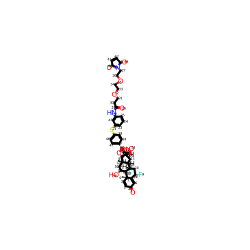 C[C@]12C=CC(=O)C=C1[C@@H](F)C[C@H]1[C@@H]3C[C@H]4O[C@@H](c5ccc(Sc6cccc(NC(=O)CCOCCOCCN7C(=O)C=CC7=O)c6)cc5)O[C@@]4(C(O)C=O)[C@@]3(C)C[C@H](O)[C@@]12F